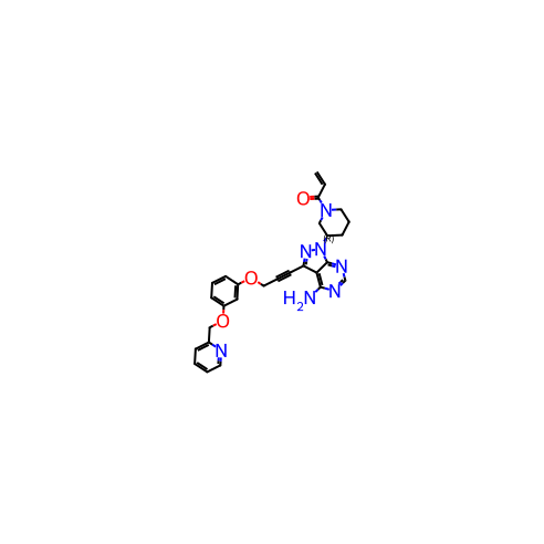 C=CC(=O)N1CCC[C@@H](n2nc(C#CCOc3cccc(OCc4ccccn4)c3)c3c(N)ncnc32)C1